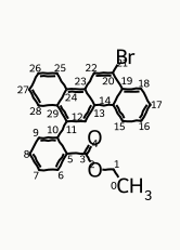 CCOC(=O)c1ccccc1-c1cc2c3ccccc3c(Br)cc2c2ccccc12